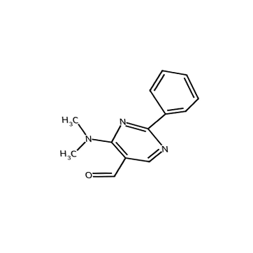 CN(C)c1nc(-c2ccccc2)ncc1C=O